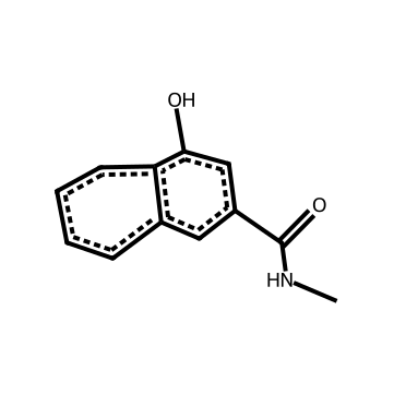 CNC(=O)c1cc(O)c2ccccc2c1